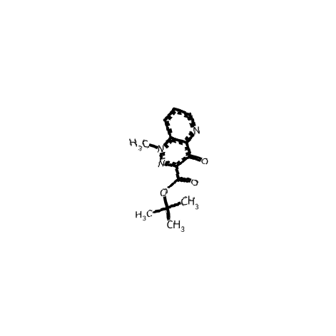 Cn1nc(C(=O)OC(C)(C)C)c(=O)c2ncccc21